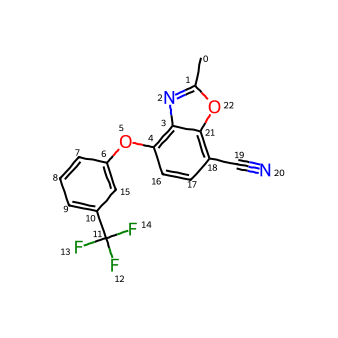 Cc1nc2c(Oc3cccc(C(F)(F)F)c3)ccc(C#N)c2o1